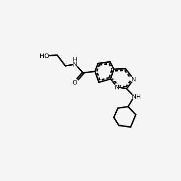 O=C(NCCO)c1ccc2cnc(NC3CCCCC3)nc2c1